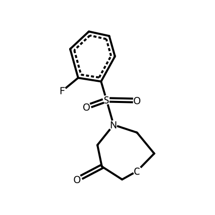 O=C1CCCCN(S(=O)(=O)c2ccccc2F)C1